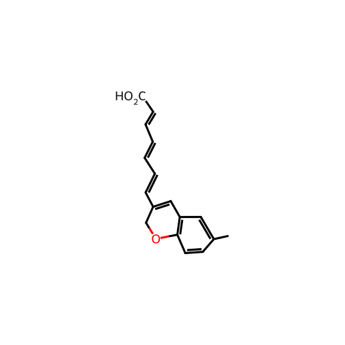 Cc1ccc2c(c1)C=C(C=CC=CC=CC(=O)O)CO2